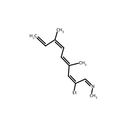 C=C\C(C)=C/C=C(C)/C=C(\C=N/C)CC